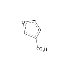 O=C(O)c1c[c]oc1